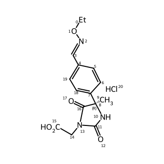 CCON=Cc1ccc([C@@]2(C)NC(=O)N(CC(=O)O)C2=O)cc1.Cl